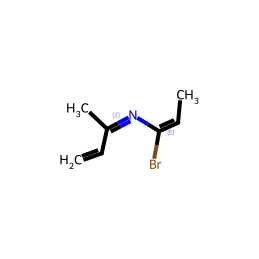 C=C/C(C)=N\C(Br)=C/C